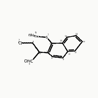 CCCCCCSc1c(C(C=O)CCl)ccc2ccccc12